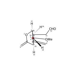 C=C1O[C@@H]2O[C@@H](OC)[C@H]1C(=C)[C@@H]2CC=O